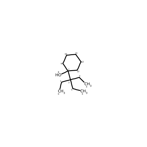 CCC(CC)(CC)C1(O)CCCCC1